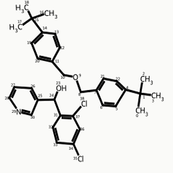 CC(C)(C)c1ccc(COCc2ccc(C(C)(C)C)cc2)cc1.OC(c1cccnc1)c1ccc(Cl)cc1Cl